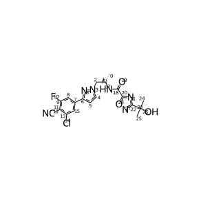 C[C@@H](Cn1ccc(-c2cc(F)c(C#N)c(Cl)c2)n1)NC(=O)c1nc(C(C)(C)O)no1